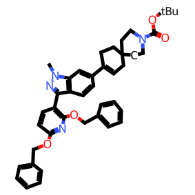 Cn1nc(-c2ccc(OCc3ccccc3)nc2OCc2ccccc2)c2ccc(C3=CCC4(CC3)CCN(C(=O)OC(C)(C)C)CC4)cc21